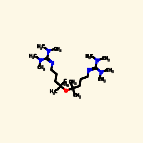 CN(C)C(=NCCC[Si](C)(C)O[Si](C)(C)CCCN=C(N(C)C)N(C)C)N(C)C